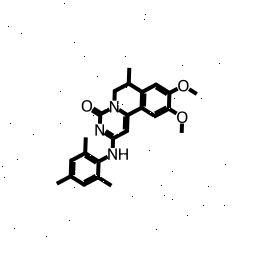 COc1cc2c(cc1OC)C(C)Cn1c-2cc(Nc2c(C)cc(C)cc2C)nc1=O